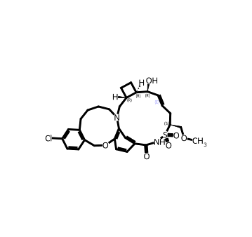 COC[C@@H]1C/C=C/[C@H](O)[C@@H]2CC[C@H]2CN2CCCCc3cc(Cl)ccc3COc3ccc(cc32)C(=O)NS1(=O)=O